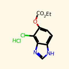 CCOC(=O)Oc1ccc2[nH]cnc2c1Cl.Cl